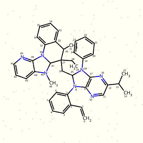 C=Cc1ccccc1N1c2ncc(C(C)C)nc2N(c2ccccc2)C1CC1(CC)C(C)c2ccccc2N2c3ncccc3N(C)C21